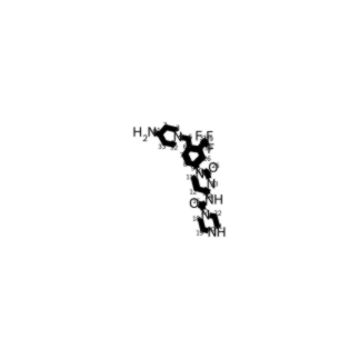 NC1CCN(Cc2ccc(-n3ccc(NC(=O)N4CCNCC4)nc3=O)cc2C(F)(F)F)CC1